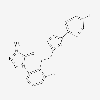 Cn1nnn(-c2cccc(Cl)c2COc2ccn(-c3ccc(F)cc3)n2)c1=O